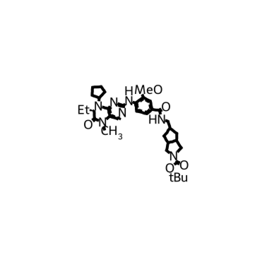 CC[C@@H]1C(=O)N(C)c2cnc(Nc3ccc(C(=O)NCC4CC5CN(C(=O)OC(C)(C)C)CC5C4)cc3OC)nc2N1C1CCCC1